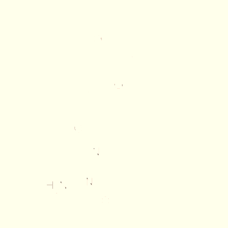 CC(O/N=[N+](\N)[O-])OC(=O)C(C)(C)C